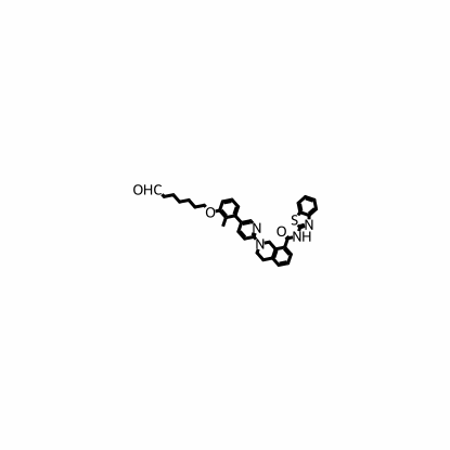 Cc1c(OCCCCCCC=O)cccc1-c1ccc(N2CCc3cccc(C(=O)Nc4nc5ccccc5s4)c3C2)nc1